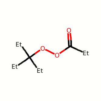 CCC(=O)OOC(CC)(CC)CC